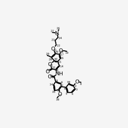 COc1cccc(-c2cc(C(=O)Nc3cc4cc(OC)c(OCCCN(C)C)c(C)c4oc3=O)ccc2OC)c1